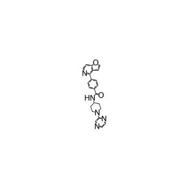 O=C(NC1CCN(c2cnccn2)CC1)c1ccc(-c2nccc3occc23)cc1